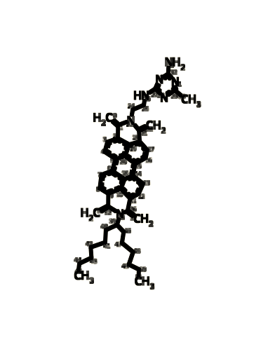 C=C1c2ccc3c4ccc5c6c(ccc(c7ccc(c2c37)C(=C)N1CCNc1nc(C)nc(N)n1)c64)C(=C)N(C(CCCCCC)CCCCCC)C5=C